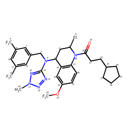 CCC1CC(N(Cc2cc(C(F)(F)F)cc(C(F)(F)F)c2)c2nnn(C)n2)c2cc(OC(F)(F)F)ccc2N1C(=O)CCC1CCCC1